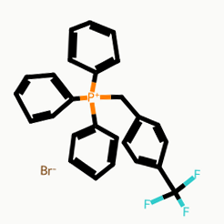 FC(F)(F)c1ccc(C[P+](c2ccccc2)(c2ccccc2)c2ccccc2)cc1.[Br-]